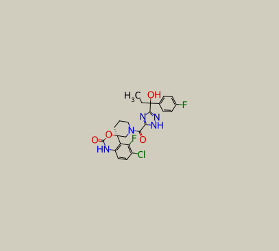 CCC(O)(c1ccc(F)cc1)c1n[nH]c(C(=O)N2CCC[C@@]3(C2)OC(=O)Nc2ccc(Cl)c(F)c23)n1